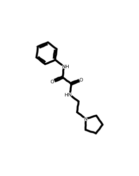 O=C(NCCN1CCCC1)C(=O)Nc1cc[c]cc1